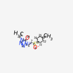 CCn1nnn(/C=C/[S+]([O-])c2ccc(C)cc2)c1=O